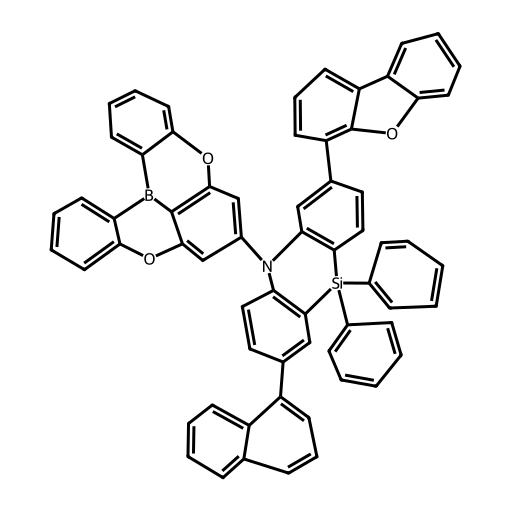 c1ccc([Si]2(c3ccccc3)c3ccc(-c4cccc5c4oc4ccccc45)cc3N(c3cc4c5c(c3)Oc3ccccc3B5c3ccccc3O4)c3ccc(-c4cccc5ccccc45)cc32)cc1